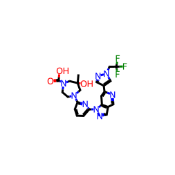 CC1(O)CN(C(=O)O)CCN(c2cccc(-n3ncc4cnc(-c5cnn(CC(F)(F)F)c5)cc43)n2)C1